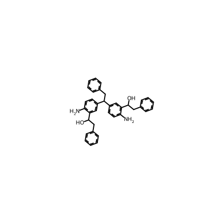 Nc1ccc(C(Cc2ccccc2)c2ccc(N)c(C(O)Cc3ccccc3)c2)cc1C(O)Cc1ccccc1